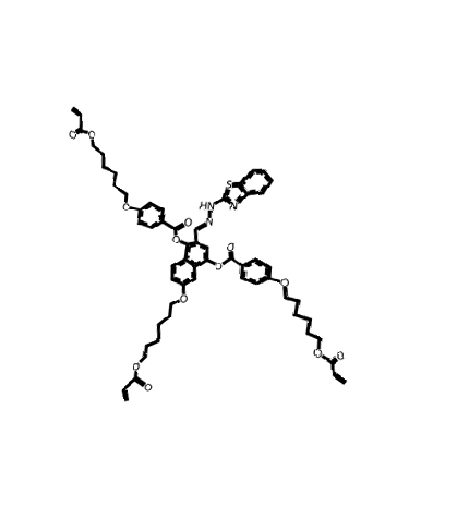 C=CC(=O)OCCCCCCOc1ccc(C(=O)Oc2cc(/C=N/Nc3nc4ccccc4s3)c(OC(=O)c3ccc(OCCCCCCOC(=O)C=C)cc3)c3ccc(OCCCCCCOC(=O)C=C)cc23)cc1